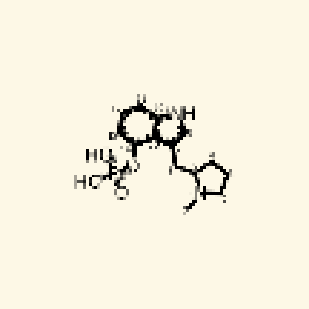 CN1CCCC1Cc1c[nH]c2cccc(OP(=O)(O)O)c12